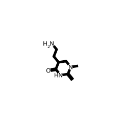 C=C1NC(=O)C(CCN)CN1C